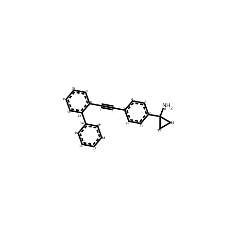 NC1(c2ccc(C#Cc3ccccc3-c3ccccc3)cc2)CC1